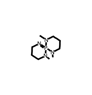 CN1CCCN=P12N(C)CCCN2C